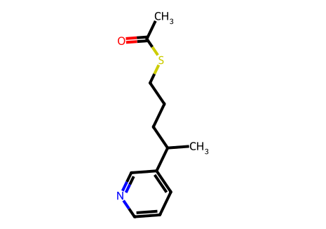 CC(=O)SCCCC(C)c1cccnc1